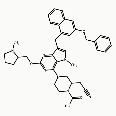 CN1CCCC1COc1nc(N2CCN(C(=O)O)C(CC#N)C2)c2c(n1)c(Cc1cc(OCc3ccccc3)cc3ccccc13)cn2C